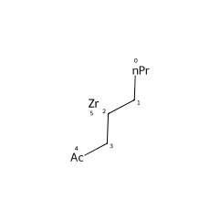 CCCCCCC(C)=O.[Zr]